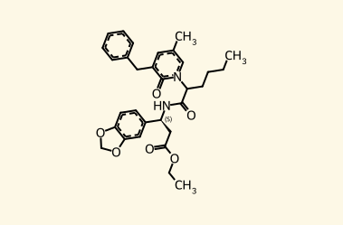 CCCCC(C(=O)N[C@@H](CC(=O)OCC)c1ccc2c(c1)OCO2)n1cc(C)cc(Cc2ccccc2)c1=O